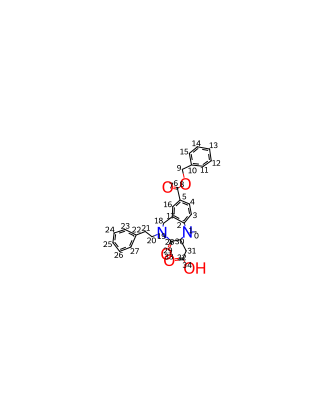 CN1c2ccc(C(=O)OCc3ccccc3)cc2CN(CCc2ccccc2)C(=O)C1CC(=O)O